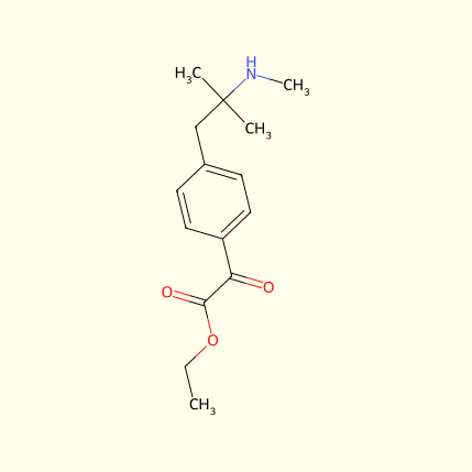 CCOC(=O)C(=O)c1ccc(CC(C)(C)NC)cc1